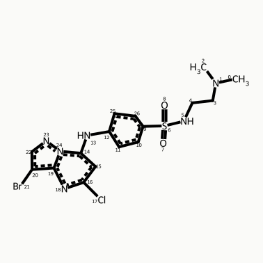 CN(C)CCNS(=O)(=O)c1ccc(Nc2cc(Cl)nc3c(Br)cnn23)cc1